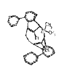 CCC1=C2CCC3=C(CC)[CH](c4cccc(-c5ccccc5)c43)[Zr]([CH3])([CH3])[CH]1c1cccc(-c3ccccc3)c12